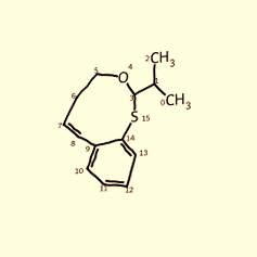 CC(C)C1OCCC=Cc2ccccc2S1